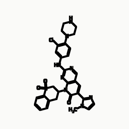 Cn1ccnc1-c1cc2cnc(Nc3ccc(N4CCNCC4)c(Cl)c3)nc2n(C2Cc3ccccc3S(=O)(=O)C2)c1=O